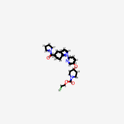 O=C(OCCF)N1CCC(Oc2ccc(-n3ccc4cc(C(=O)N5CCCC5)ccc43)nc2)CC1